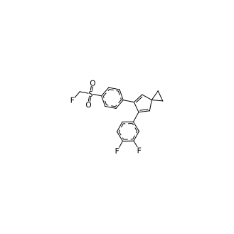 O=S(=O)(CF)c1ccc(C2=CC3(C=C2c2ccc(F)c(F)c2)CC3)cc1